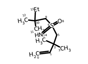 C=CC(C)(C)CS(=N)(=O)CC(C)(C)CC